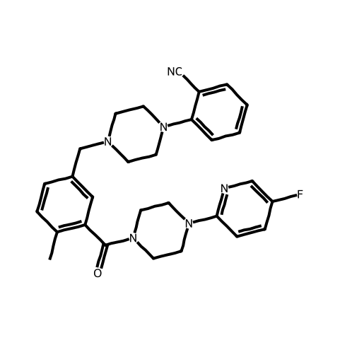 Cc1ccc(CN2CCN(c3ccccc3C#N)CC2)cc1C(=O)N1CCN(c2ccc(F)cn2)CC1